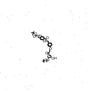 CC(C)(C)OC(=O)NCc1ccc(C(=O)NCc2ccc(OCCC(=O)N3C[C@@H](O)[C@@H](O[Si](C)(C)C(C)(C)C)C3)cc2)cc1